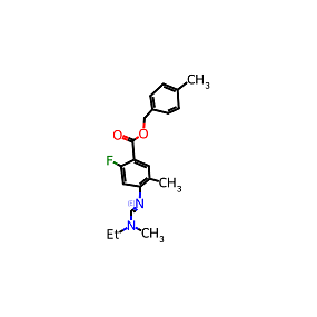 CCN(C)/C=N/c1cc(F)c(C(=O)OCc2ccc(C)cc2)cc1C